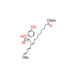 C=O.CCCCC=CC=CC=CCCCCCCCC(=O)OC.Oc1cccc(O)c1